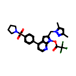 Cc1cc(C)n(Cc2cc3c(-c4ccc(S(=O)(=O)N5CCCC5)cc4)ccnc3n2OC(=O)C(F)(F)F)n1